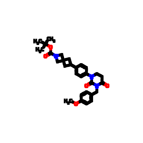 COc1ccc(CN2C(=O)CCN(c3ccc(C4CC5(C4)CN(C(=O)OC(C)(C)C)C5)cc3)C2=O)cc1